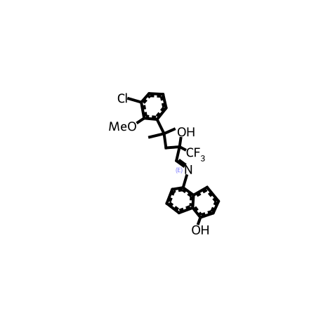 COc1c(Cl)cccc1C(C)(C)CC(O)(/C=N/c1cccc2c(O)cccc12)C(F)(F)F